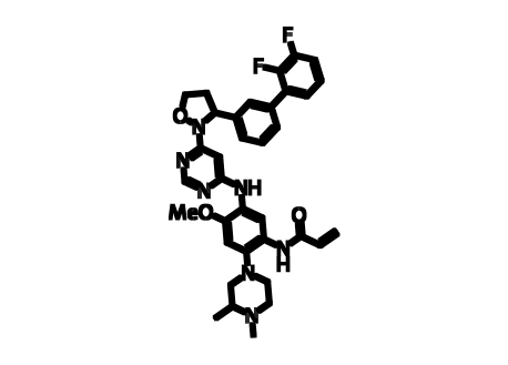 C=CC(=O)Nc1cc(Nc2cc(N3OCCC3c3cccc(-c4cccc(F)c4F)c3)ncn2)c(OC)cc1N1CCN(C)C(C)C1